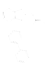 CC(C)(C)OC(=O)N[C@H]1Cc2ccccc2[C@H]1Oc1cccc(-c2ccccc2)c1